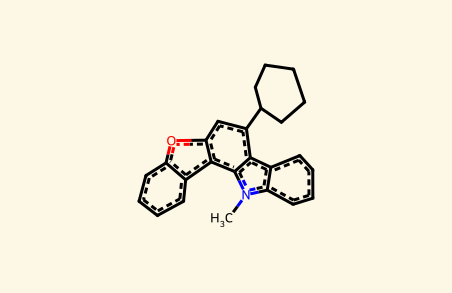 Cn1c2ccccc2c2c(C3CCCCC3)cc3oc4ccccc4c3c21